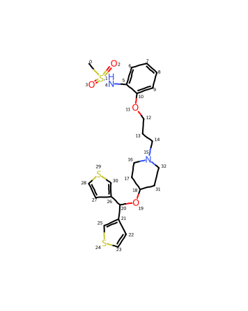 CS(=O)(=O)Nc1ccccc1OCCCN1CCC(OC(c2ccsc2)c2ccsc2)CC1